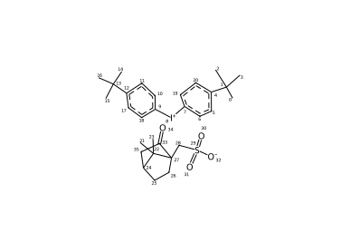 CC(C)(C)c1ccc([I+]c2ccc(C(C)(C)C)cc2)cc1.CC1(C)C2CCC1(CS(=O)(=O)[O-])C(=O)C2